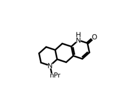 CCCN1CCCC2Cc3[nH]c(=O)ccc3CC21